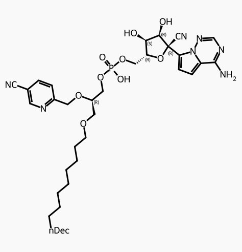 CCCCCCCCCCCCCCCCCCOC[C@H](COP(=O)(O)OC[C@H]1O[C@@](C#N)(c2ccc3c(N)ncnn23)[C@H](O)[C@@H]1O)OCc1ccc(C#N)cn1